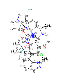 C[C@H](c1cccnc1NC(=O)OC(C)(C)C)N1CCOc2c(Cl)c(-c3c(F)ccc4cnn(C)c34)c(F)c3nc(OC[C@@]45CCCN4C[C@H](F)C5)nc1c23